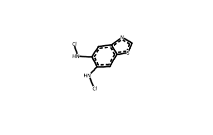 ClNc1cc2ncsc2cc1NCl